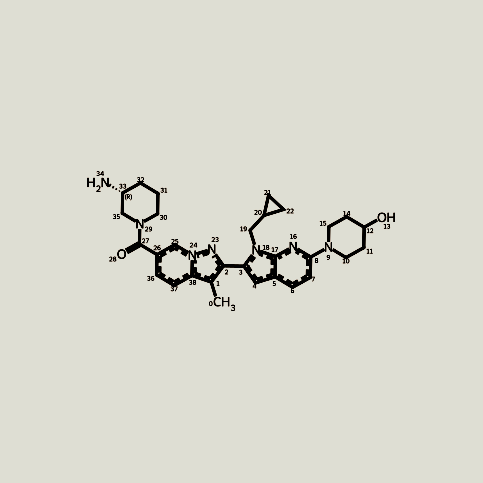 Cc1c(-c2cc3ccc(N4CCC(O)CC4)nc3n2CC2CC2)nn2cc(C(=O)N3CCC[C@@H](N)C3)ccc12